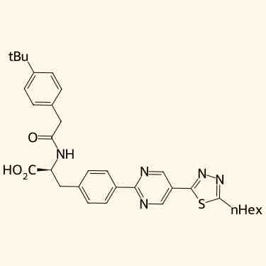 CCCCCCc1nnc(-c2cnc(-c3ccc(C[C@H](NC(=O)Cc4ccc(C(C)(C)C)cc4)C(=O)O)cc3)nc2)s1